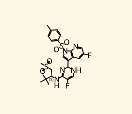 Cc1ccc(S(=O)(=O)n2cc(C3N=C(N[C@H](CS(C)(=O)=O)C(C)(C)C)C(F)=CN3)c3cc(F)cnc32)cc1